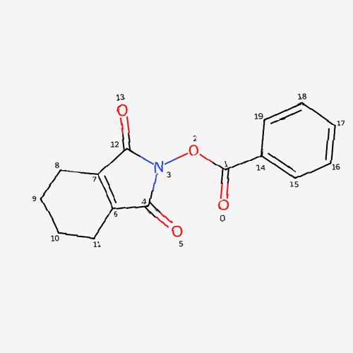 O=C(ON1C(=O)C2=C(CCCC2)C1=O)c1ccccc1